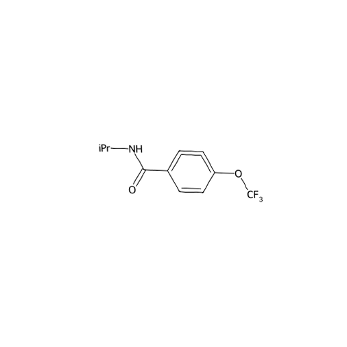 CC(C)NC(=O)C1=C=C=C(OC(F)(F)F)C=C1